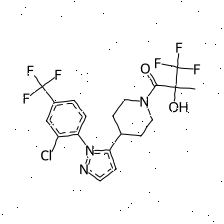 CC(O)(C(=O)N1CCC(c2ccnn2-c2ccc(C(F)(F)F)cc2Cl)CC1)C(F)(F)F